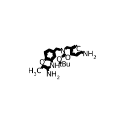 CC1=C(N)Nc2cc(CN(Cc3ccc(N)cc3)C(=O)OC(C)(C)C)ccc2O1